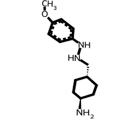 COc1ccc(NNC[C@H]2CC[C@H](N)CC2)cc1